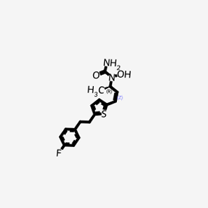 C[C@H](/C=C\c1ccc(CCc2ccc(F)cc2)s1)N(O)C(N)=O